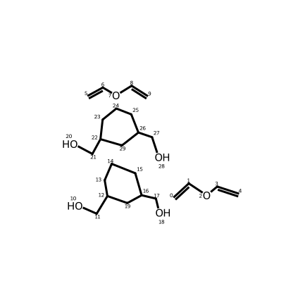 C=COC=C.C=COC=C.OCC1CCCC(CO)C1.OCC1CCCC(CO)C1